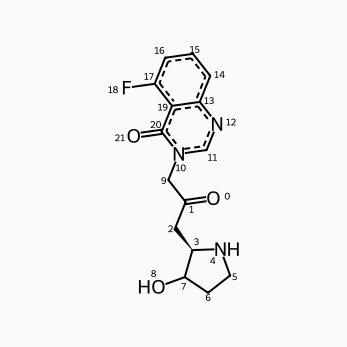 O=C(C[C@H]1NCCC1O)Cn1cnc2cccc(F)c2c1=O